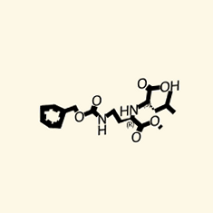 COC(=O)[C@@H](CCNC(=O)OCc1ccccc1)N[C@@H](CC(C)C)C(=O)O